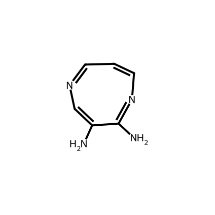 NC1=CN=CC=CN=C1N